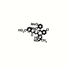 COc1cccc([C@H]2O[C@H](CC(=O)Nc3cccc(C(=O)O)n3)C(=O)N(CC(C)(C)CO)c3ccc(Cl)cc32)c1OC